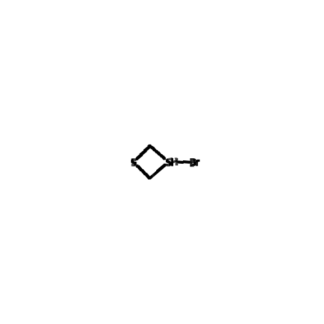 Br[SH]1CSC1